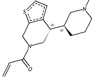 C=CC(=O)N1Cc2sccc2[C@H]([C@@H]2CCCN(C)C2)C1